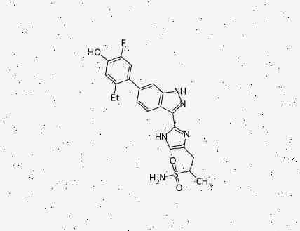 CCc1cc(O)c(F)cc1-c1ccc2c(-c3nc(CC(C)S(N)(=O)=O)c[nH]3)n[nH]c2c1